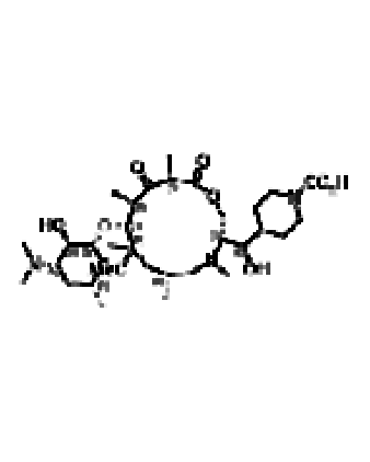 CO[C@]1(C)C[C@@H](C)CN(C)[C@@H]([C@H](O)C2CCN(C(=O)O)CC2)COC(=O)[C@H](C)C(=O)[C@H](C)[C@H]1O[C@@H]1O[C@H](C)C[C@H](N(C)C)[C@H]1O